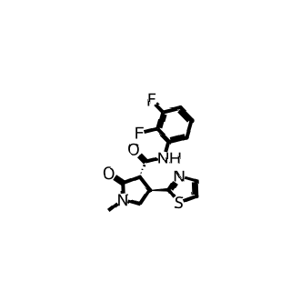 CN1C[C@H](c2nccs2)[C@@H](C(=O)Nc2cccc(F)c2F)C1=O